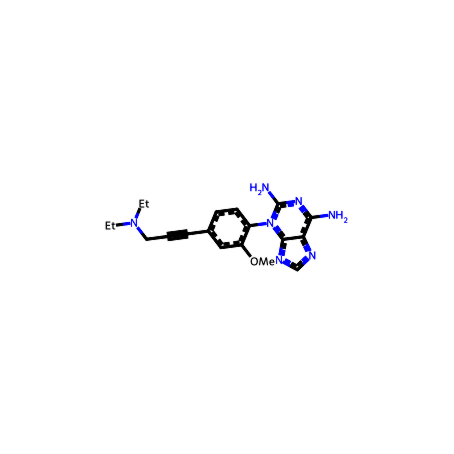 CCN(CC)CC#Cc1ccc(-n2c(N)nc(N)c3ncnc2-3)c(OC)c1